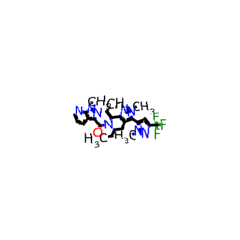 CCC1Cc2c(nn(C)c2-c2cc(C(F)(F)F)nn2C)C(CC)N1C(=O)c1nn(C)c2ncccc12